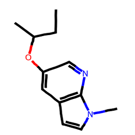 CCC(C)Oc1cnc2c(ccn2C)c1